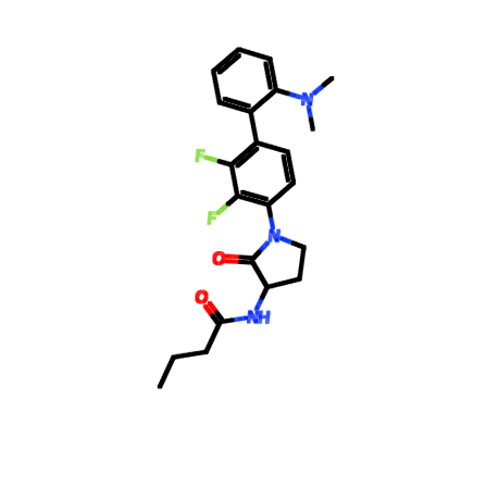 CCCC(=O)NC1CCN(c2ccc(-c3ccccc3N(C)C)c(F)c2F)C1=O